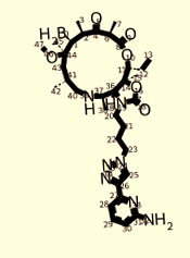 B[C@@H]1[C@@H](C)C(=O)[C@@H](C)C(=O)O[C@H](CC)[C@@]2(C)OC(=O)N(CCCCn3cc(-c4cccc(N)n4)nn3)[C@@H]2[C@@H](C)NC[C@H](C)C[C@@]1(C)OC